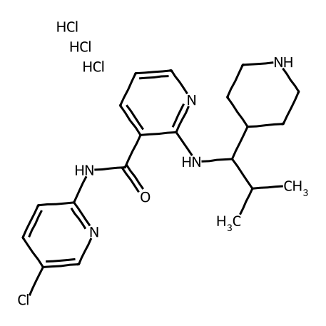 CC(C)C(Nc1ncccc1C(=O)Nc1ccc(Cl)cn1)C1CCNCC1.Cl.Cl.Cl